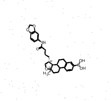 C[C@]12CCC3c4ccc(B(O)O)cc4CCC3C1[C@@H](CCCC(=O)Nc1ccc3c(c1)OCO3)CO2